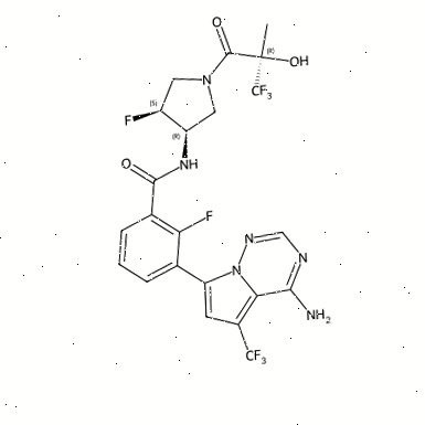 C[C@@](O)(C(=O)N1C[C@H](F)[C@H](NC(=O)c2cccc(-c3cc(C(F)(F)F)c4c(N)ncnn34)c2F)C1)C(F)(F)F